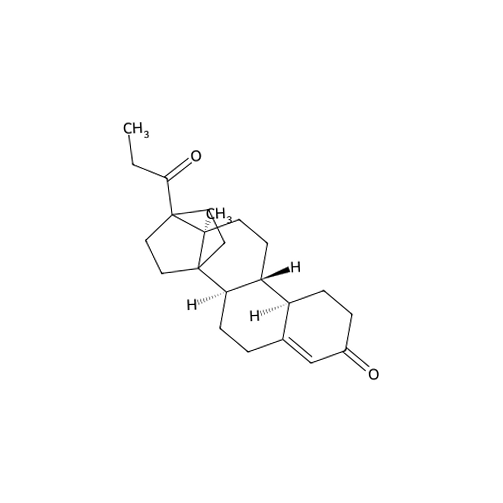 CCC(=O)C12CCC3(CC1)[C@@H]1CCC4=CC(=O)CC[C@@H]4[C@H]1CC[C@]23C